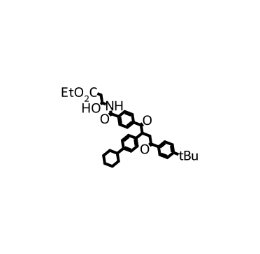 CCOC(=O)CC(O)NC(=O)c1ccc(C(=O)C(CC(=O)c2ccc(C(C)(C)C)cc2)c2ccc(C3CCCCC3)cc2)cc1